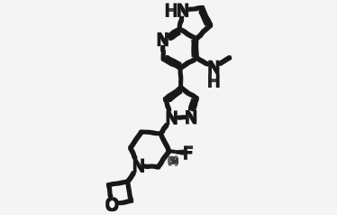 CNc1c(-c2cnn(C3CCN(C4COC4)C[C@@H]3F)c2)cnc2[nH]ccc12